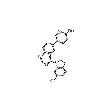 Oc1ccc(-c2ccc3ncnc(N4CCc5ccc(Cl)cc54)c3c2)cn1